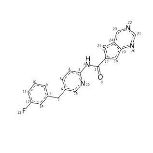 O=C(Nc1ccc(Cc2cccc(F)c2)cn1)c1cc2ncncc2s1